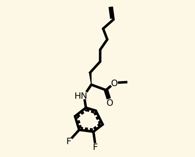 C=CCCCCC[C@H](Nc1ccc(F)c(F)c1)C(=O)OC